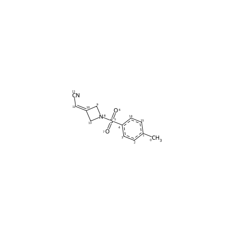 Cc1ccc(S(=O)(=O)N2CC(=CC#N)C2)cc1